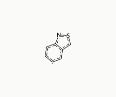 [c]1ccc2nscc2c1